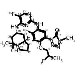 CC(F)COc1cc(F)c(Nc2ncc(F)c(N[C@@H]3C[C@@H]4CCCN4C(C)(C)C3)n2)cc1-n1nnn(C)c1=O